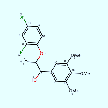 COc1cc(C(O)C(C)Oc2ccc(Br)cc2F)cc(OC)c1OC